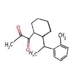 CC(=O)C(=O)C1CCCCC1C(C)c1ccccc1C